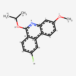 COc1ccc2c(c1)nc(OC(C)C)c1ccc(F)cc12